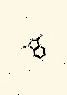 O=C1S[PH](=S)c2ccc[c]c21